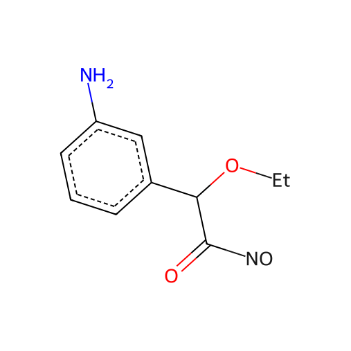 CCOC(C(=O)N=O)c1cccc(N)c1